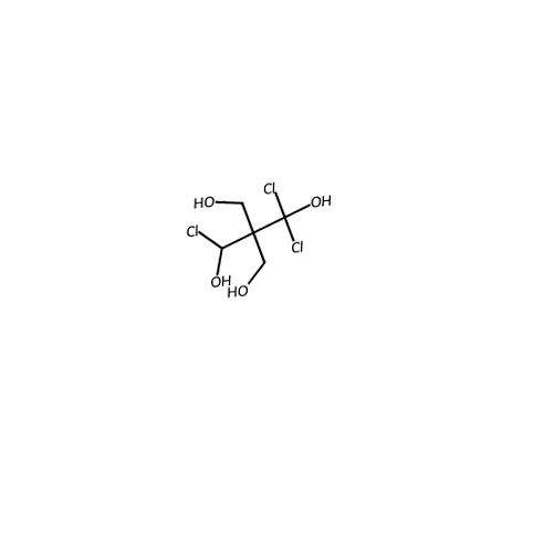 OCC(CO)(C(O)Cl)C(O)(Cl)Cl